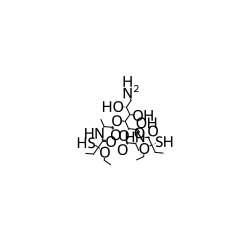 CCO[C@](S)(CC)C(=O)NC(C)C(=O)O[C@@H]([C@H](O)[C@H](O)CN)[C@@H](OC(=O)C(C)NC(=O)[C@@](S)(CC)OCC)C(=O)O